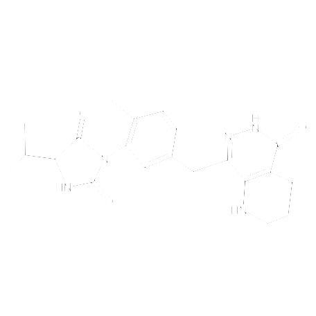 CC(C)C1NC(=O)N(c2cc(Cc3n[nH]c(=O)c4c3NCCC4)ccc2F)C1=O